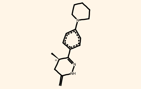 C=C1C[C@@H](C)C(c2ccc(N3CCCCC3)cc2)=NN1